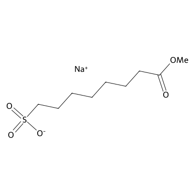 COC(=O)CCCCCCCS(=O)(=O)[O-].[Na+]